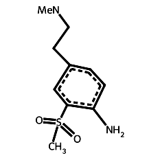 CNCCc1ccc(N)c(S(C)(=O)=O)c1